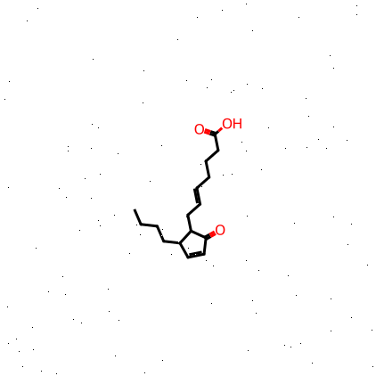 CCCCC1C=CC(=O)C1CC=CCCCC(=O)O